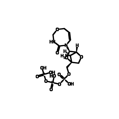 N[C@H]1[C@H]2OC[C@]1(COP(=O)(O)OP(=O)(O)OP(=O)(O)O)O[C@H]2N1/C=C\COCNC1=O